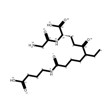 CCC(CCCC(=O)NCCCC(=O)O)C(=O)CC[C@H](NC(=O)CN)C(=O)O